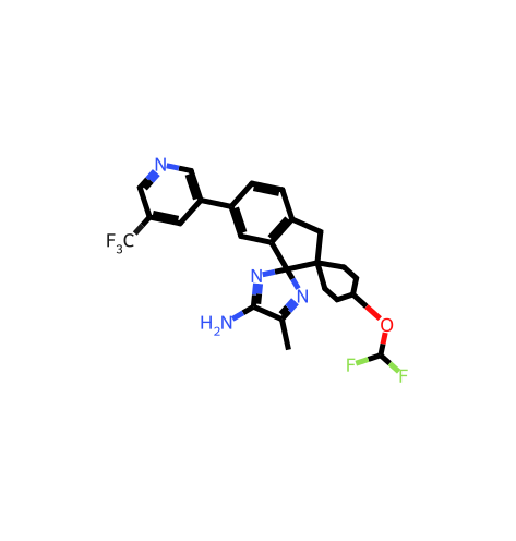 CC1=NC2(N=C1N)c1cc(-c3cncc(C(F)(F)F)c3)ccc1CC21CCC(OC(F)F)CC1